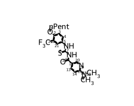 CCCCCOc1ccc(NC(=S)NC(=O)c2ccc(N(C)C)nc2)cc1C(F)(F)F